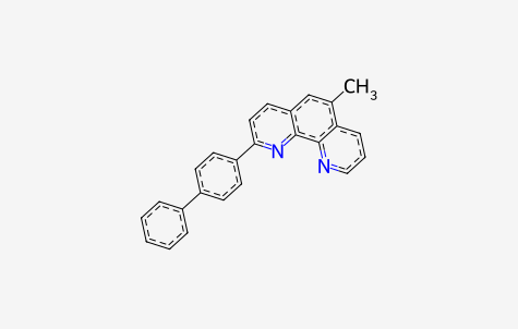 Cc1cc2ccc(-c3ccc(-c4ccccc4)cc3)nc2c2ncccc12